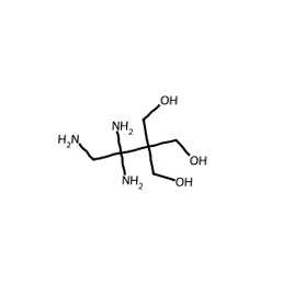 NCC(N)(N)C(CO)(CO)CO